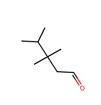 CC(C)C(C)(C)CC=O